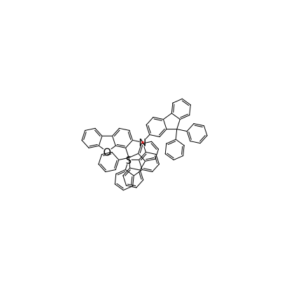 c1ccc(C2(c3ccccc3)c3ccccc3-c3ccc(N(c4ccc5c(oc6ccccc65)c4C4(c5ccccc5)c5ccccc5-c5ccccc54)c4cccc5c4sc4ccccc45)cc32)cc1